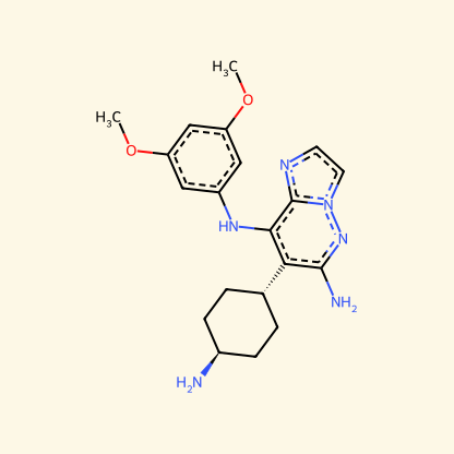 COc1cc(Nc2c3nccn3nc(N)c2[C@H]2CC[C@H](N)CC2)cc(OC)c1